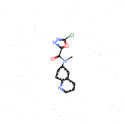 CN(C(=O)c1nnc(Cl)o1)c1ccc2ncccc2c1